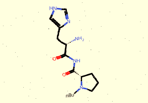 CCCCN1CCC[C@H]1C(=O)NC(=O)[C@@H](N)Cc1c[nH]cn1